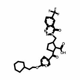 O=C(c1ccc(OCCC2CCCCC2)cc1)C1CCC(Cn2nnc3ccc(C(F)(F)F)cc3c2=O)C1C(=O)O